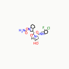 NC(=O)On1cc(CC(=O)N2[C@H](C(=O)NCc3cccc(Cl)c3F)C[C@@]3(CO)C[C@@H]23)c2ccccc21